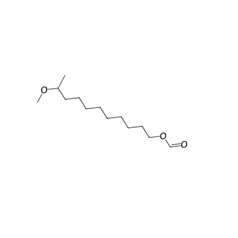 COC(C)CCCCCCCCCOC=O